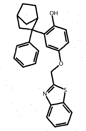 Oc1ccc(OCc2nc3ccccc3s2)cc1C1(c2ccccc2)CC2CCC1C2